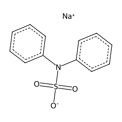 O=S(=O)([O-])N(c1ccccc1)c1ccccc1.[Na+]